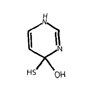 OC1(S)C=CNC=N1